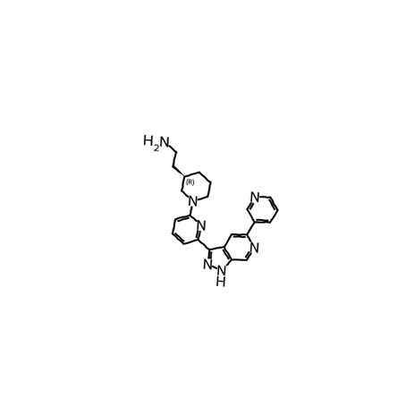 NCC[C@H]1CCCN(c2cccc(-c3n[nH]c4cnc(-c5cccnc5)cc34)n2)C1